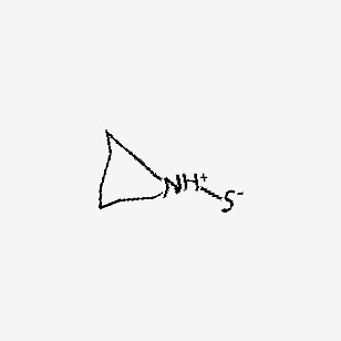 [S-][NH+]1CC1